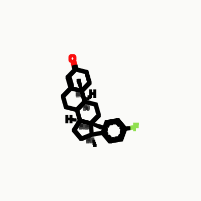 C[C@]12CCC(=O)C=C1CCC1[C@@H]2CC[C@@]2(C)[C@H]1CC[C@]2(C)c1ccc(F)cc1